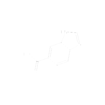 O=C(O)C1=CC2NC=NC2C=C1